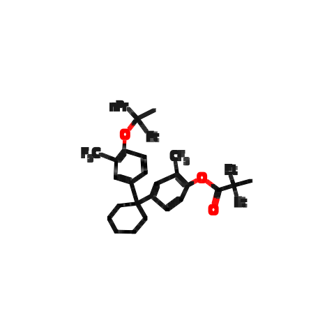 CCCC(C)(CC)Oc1ccc(C2(c3ccc(OC(=O)C(C)(CC)CC)c(C(F)(F)F)c3)CCCCC2)cc1C(F)(F)F